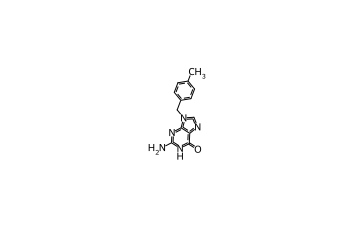 Cc1ccc(Cn2cnc3c(=O)[nH]c(N)nc32)cc1